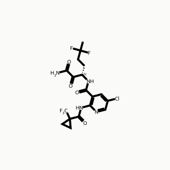 CC(F)(F)CC[C@H](NC(=O)c1cc(Cl)cnc1NC(=O)C1(C(F)(F)F)CC1)C(=O)C(N)=O